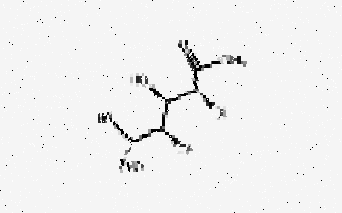 NC(=O)[C@@H](O)[C@H](O)[C@@H](O)[C@@H](O)C=O